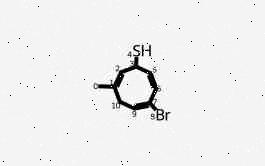 CC1=CC(S)/C=C\C(Br)=C/C1